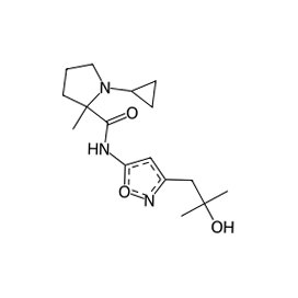 CC(C)(O)Cc1cc(NC(=O)C2(C)CCCN2C2CC2)on1